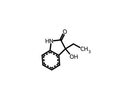 CCC1(O)C(=O)Nc2ccccc21